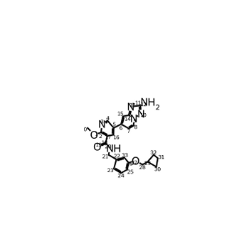 COc1ncc(-c2ccn3nc(N)nc3c2)cc1C(=O)NCc1cccc(OCC2CCC2)c1